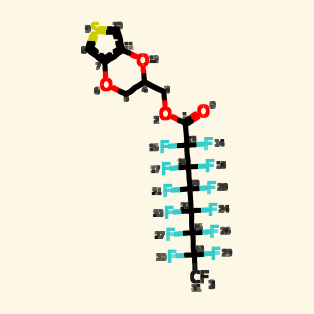 O=C(OCC1COc2cscc2O1)C(F)(F)C(F)(F)C(F)(F)C(F)(F)C(F)(F)C(F)(F)C(F)(F)F